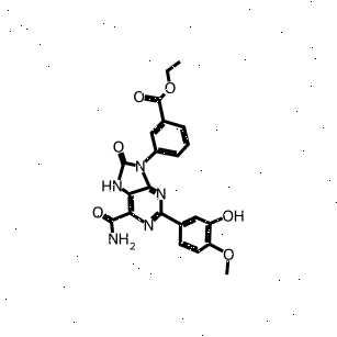 CCOC(=O)c1cccc(-n2c(=O)[nH]c3c(C(N)=O)nc(-c4ccc(OC)c(O)c4)nc32)c1